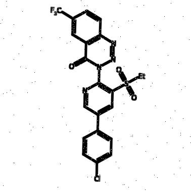 CCS(=O)(=O)c1cc(-c2ccc(Cl)cc2)cnc1-n1nnc2ccc(C(F)(F)F)cc2c1=O